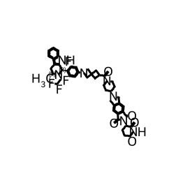 C[C@@H]1Cc2c([nH]c3ccccc23)[C@@H](c2c(F)cc(N3CC4(CC(C(=O)N5CCC(N6Cc7cc8c(cc7C6)C(=O)N(C6CCC(=O)NC6=O)C8=O)CC5)C4)C3)cc2F)N1CC(F)F